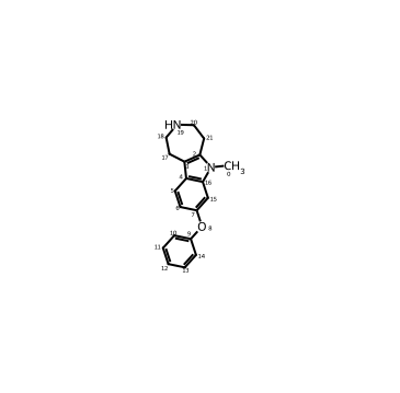 Cn1c2c(c3ccc(Oc4ccccc4)cc31)CCNCC2